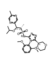 COc1cccc(OC)c1-n1c(NS(=O)(=O)[C@@H](C)[C@@H](OC(C)C)c2cnc(C)cn2)nnc1[C@H]1COCCO1